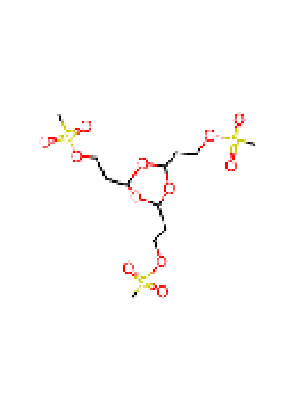 CS(=O)(=O)OCCC1OC(CCOS(C)(=O)=O)OC(CCOS(C)(=O)=O)O1